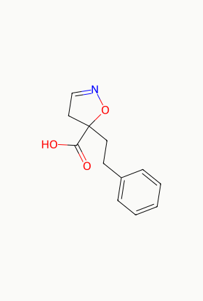 O=C(O)C1(CCc2ccccc2)CC=NO1